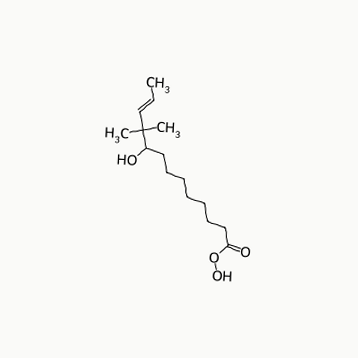 CC=CC(C)(C)C(O)CCCCCCCC(=O)OO